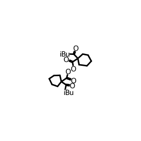 CCC(C)C(=O)C1(C(=O)OOC(=O)C2(C(=O)C(C)CC)CCCCC2)CCCCC1